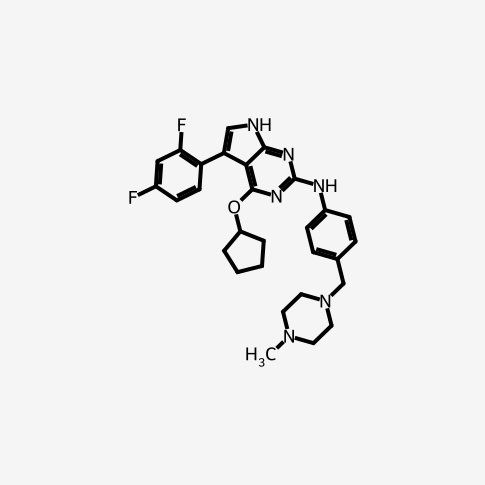 CN1CCN(Cc2ccc(Nc3nc(OC4CCCC4)c4c(-c5ccc(F)cc5F)c[nH]c4n3)cc2)CC1